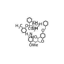 COc1ccc(N)cc1C[C@@H]1COc2ccc(OCc3ccccc3)cc2[C@@H]1O.Cc1ccccc1O[C@](C(=O)O)(c1ccccc1C)[C@@H](O)C(=O)O